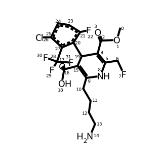 COC(=O)C1=C(CF)NC(CCCCN)=C(C(=O)O)C1c1c(F)ccc(Cl)c1C(F)(F)F